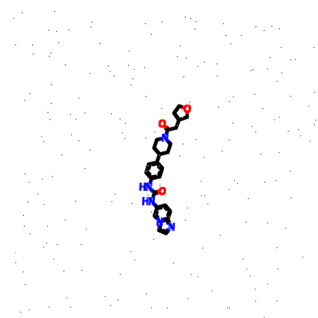 O=C(Nc1ccc(C2CCN(C(=O)CC3CCOC3)CC2)cc1)Nc1ccc2nccn2c1